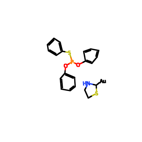 [Au][CH]1NCCS1.c1ccc(OP(Oc2ccccc2)Sc2ccccc2)cc1